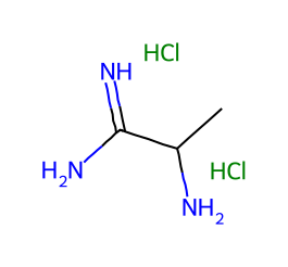 CC(N)C(=N)N.Cl.Cl